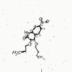 C=CCOc1c(OCCCC)c2ccc([N+](=O)[O-])cc2[nH]c1=O